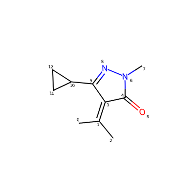 CC(C)=C1C(=O)N(C)N=C1C1CC1